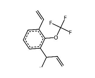 [CH2]C(C=C)c1cccc(C=C)c1OC(F)(F)F